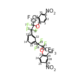 O=[N+]([O-])c1ccc(OC(F)(C(F)(F)F)C(F)(F)c2cccc(C(F)(F)C(F)(Oc3ccc([N+](=O)[O-])cc3C(F)(F)F)C(F)(F)F)c2)c(C(F)(F)F)c1